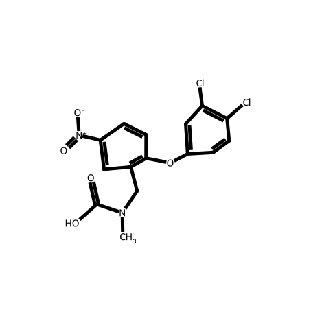 CN(Cc1cc([N+](=O)[O-])ccc1Oc1ccc(Cl)c(Cl)c1)C(=O)O